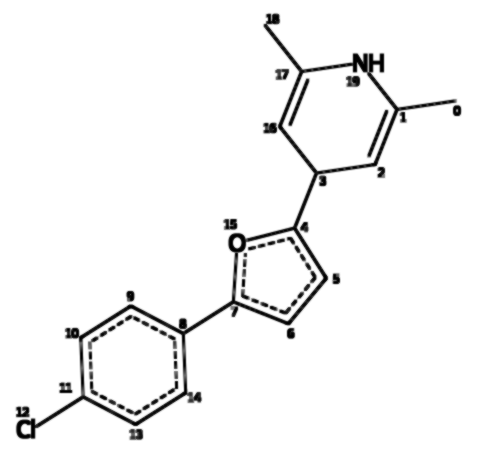 CC1=CC(c2ccc(-c3ccc(Cl)cc3)o2)C=C(C)N1